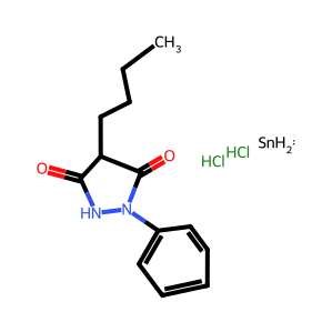 CCCCC1C(=O)NN(c2ccccc2)C1=O.Cl.Cl.[SnH2]